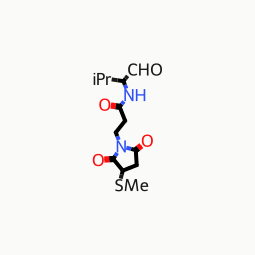 CSC1CC(=O)N(CCC(=O)NC(C=O)C(C)C)C1=O